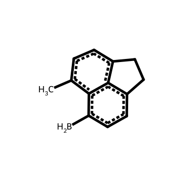 Bc1ccc2c3c(ccc(C)c13)CC2